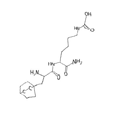 NC(=O)C(CCCCNC(=O)O)NC(=O)C(N)CC12CCC(CC1)CC2